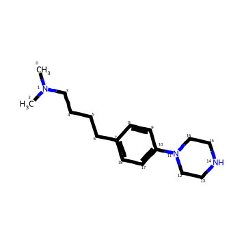 CN(C)CCCCc1ccc(N2CCNCC2)cc1